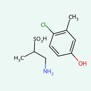 CC(CN)S(=O)(=O)O.Cc1cc(O)ccc1Cl